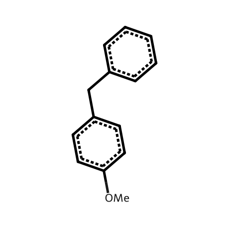 [CH2-][OH+]c1ccc(Cc2ccccc2)cc1